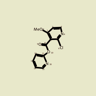 COc1ccnc(Cl)c1C(=O)Oc1ccccn1